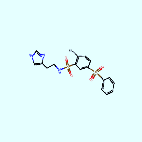 CCc1ccc(S(=O)(=O)c2ccccc2)cc1S(=O)(=O)NCCc1c[nH]cn1